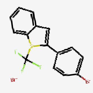 FC(F)(F)[s+]1c(-c2ccc(Br)cc2)cc2ccccc21.[Br-]